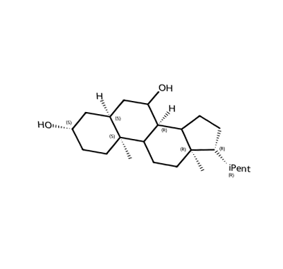 CCC[C@@H](C)[C@H]1CCC2[C@@H]3C(O)C[C@@H]4C[C@@H](O)CC[C@]4(C)C3CC[C@@]21C